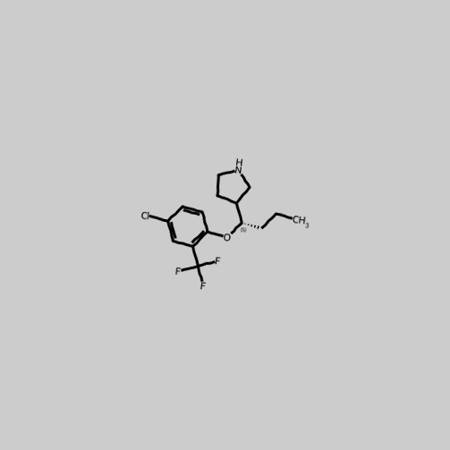 CCC[C@H](Oc1ccc(Cl)cc1C(F)(F)F)C1CCNC1